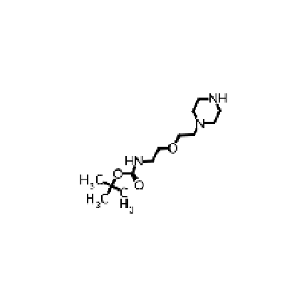 CC(C)(C)OC(=O)NCCOCCN1CCNCC1